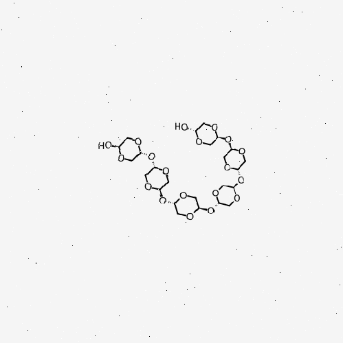 O[C@@H]1CO[C@@H](O[C@@H]2CO[C@@H](O[C@@H]3CO[C@@H](O[C@@H]4CO[C@@H](O[C@@H]5CO[C@@H](O[C@@H]6CO[C@@H](O)CO6)CO5)CO4)CO3)CO2)CO1